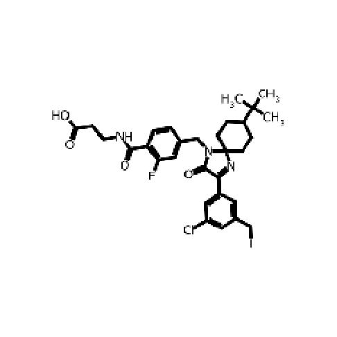 CC(C)(C)C1CCC2(CC1)N=C(c1cc(Cl)cc(CI)c1)C(=O)N2Cc1ccc(C(=O)NCCC(=O)O)c(F)c1